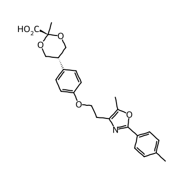 Cc1ccc(-c2nc(CCOc3ccc([C@H]4CO[C@](C)(C(=O)O)OC4)cc3)c(C)o2)cc1